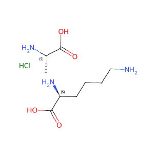 C[C@H](N)C(=O)O.Cl.NCCCC[C@H](N)C(=O)O